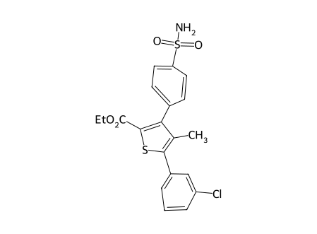 CCOC(=O)c1sc(-c2cccc(Cl)c2)c(C)c1-c1ccc(S(N)(=O)=O)cc1